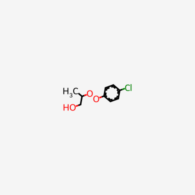 CC(CO)OOc1ccc(Cl)cc1